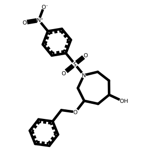 O=[N+]([O-])c1ccc(S(=O)(=O)N2CCC(O)CC(OCc3ccccc3)C2)cc1